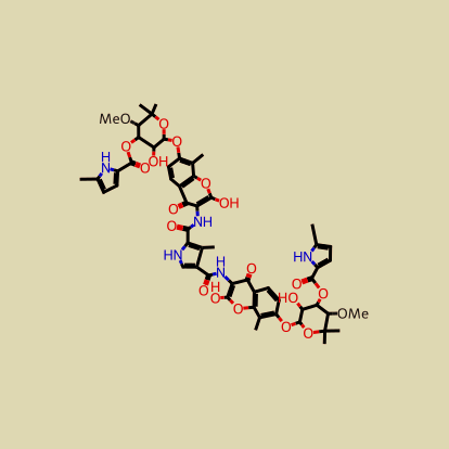 COC1C(OC(=O)c2ccc(C)[nH]2)C(O)C(Oc2ccc3c(=O)c(NC(=O)c4c[nH]c(C(=O)Nc5c(O)oc6c(C)c(OC7OC(C)(C)C(OC)C(OC(=O)c8ccc(C)[nH]8)C7O)ccc6c5=O)c4C)c(O)oc3c2C)OC1(C)C